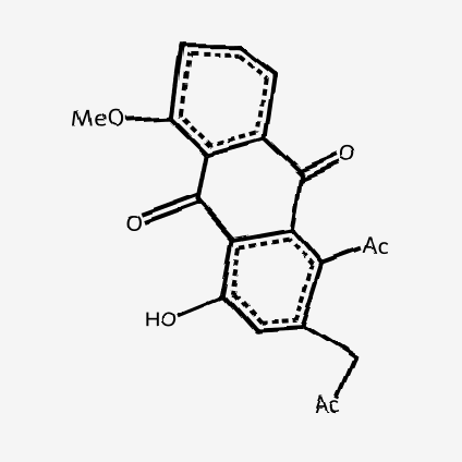 COc1cccc2c1C(=O)c1c(O)cc(CC(C)=O)c(C(C)=O)c1C2=O